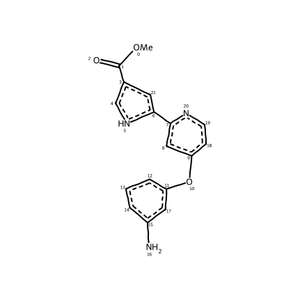 COC(=O)c1c[nH]c(-c2cc(Oc3cccc(N)c3)ccn2)c1